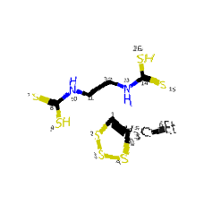 C1=CSSS1.CCC.S=C(S)NCCNC(=S)S